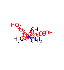 CCOCCOC(CN(CC(OCCOCC)OCCOCCOCCOCCOCCO)c1ccc(N)c(C)c1)OCCOCCOCCOCCOCCO